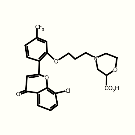 O=C(O)C1CN(CCCOc2cc(C(F)(F)F)ccc2-c2cc(=O)c3cccc(Cl)c3o2)CCO1